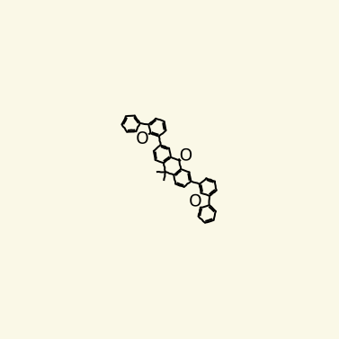 CC1(C)c2ccc(-c3cccc4c3oc3ccccc34)cc2C(=O)c2cc(-c3cccc4c3oc3ccccc34)ccc21